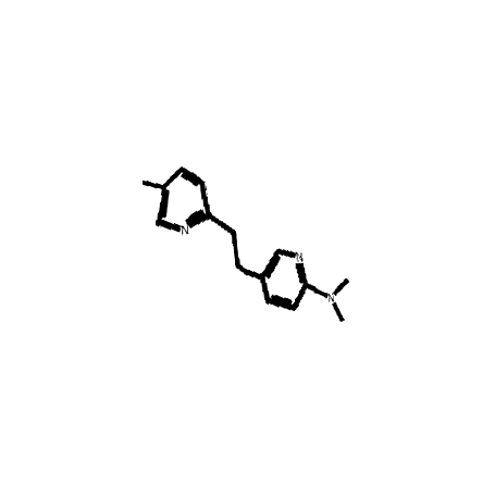 Cc1ccc(CCc2ccc(N(C)C)nc2)nc1